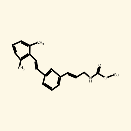 Cc1cccc(C)c1C=Cc1cccc(/C=C/CNC(=O)OC(C)(C)C)c1